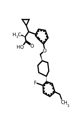 CCc1ccc(F)c([C@H]2CC[C@H](COc3cccc(C(C4CC4)[C@H](C)C(=O)O)c3)CC2)c1